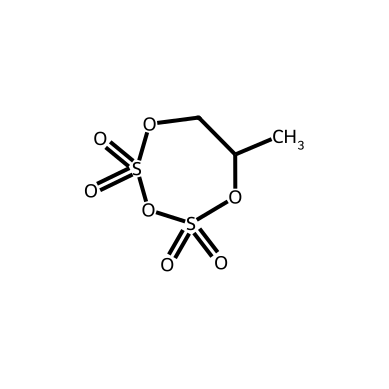 CC1COS(=O)(=O)OS(=O)(=O)O1